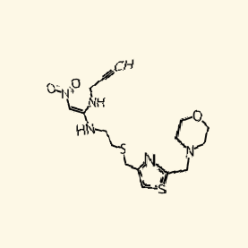 C#CCNC(=C[N+](=O)[O-])NCCSCc1csc(CN2CCOCC2)n1